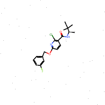 C[C@@H](NC(=O)c1ccc(OCc2cccc(F)c2)nc1Cl)C(C)(C)C